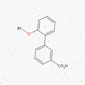 CC(C)Oc1ccccc1-c1cccc(C(=O)O)c1